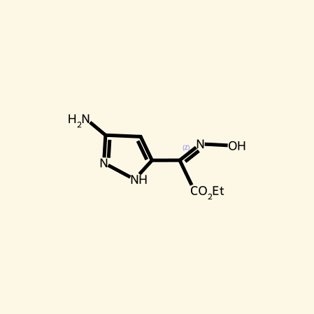 CCOC(=O)/C(=N\O)c1cc(N)n[nH]1